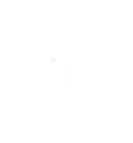 O=C(OCc1cscn1)Oc1ccccc1[N+](=O)[O-]